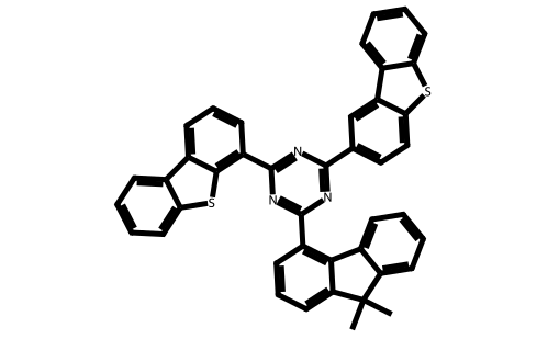 CC1(C)c2ccccc2-c2c(-c3nc(-c4ccc5sc6ccccc6c5c4)nc(-c4cccc5c4sc4ccccc45)n3)cccc21